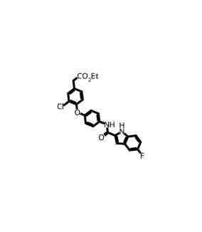 CCOC(=O)Cc1ccc(Oc2ccc(NC(=O)c3cc4cc(F)ccc4[nH]3)cc2)c(Cl)c1